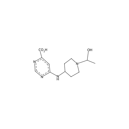 CC(O)N1CCC(Nc2cc(C(=O)O)ncn2)CC1